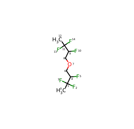 CC(F)(F)C(F)COCC(F)C(C)(F)F